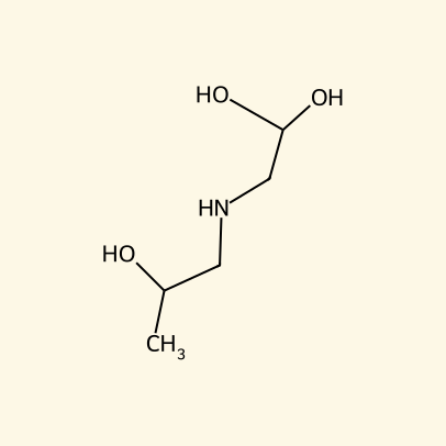 CC(O)CNCC(O)O